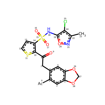 CC(=O)c1cc2c(cc1CC(=O)c1sccc1S(=O)(=O)Nc1onc(C)c1Cl)OCO2